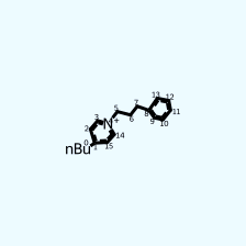 CCCCc1cc[n+](CCCc2ccccc2)cc1